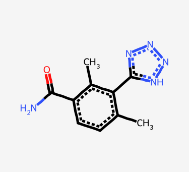 Cc1ccc(C(N)=O)c(C)c1-c1nnn[nH]1